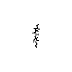 CCCNC(C)C(C)(CC)CNC(=O)c1noc(CC)c1C